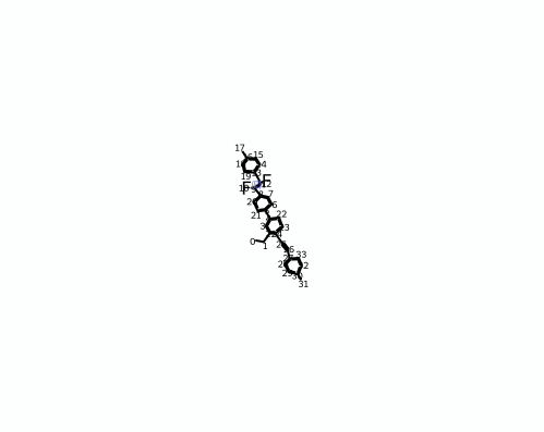 CCc1cc(-c2ccc(/C(F)=C(\F)c3ccc(C)cc3)cc2)ccc1C#Cc1ccc(C)cc1